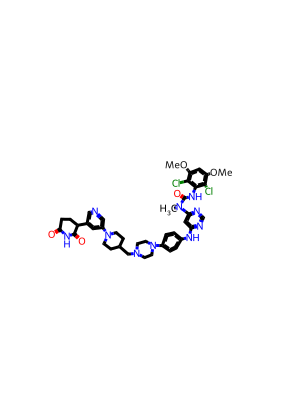 COc1cc(OC)c(Cl)c(NC(=O)N(C)c2cc(Nc3ccc(N4CCN(CC5CCN(c6cncc(C7CCC(=O)NC7=O)c6)CC5)CC4)cc3)ncn2)c1Cl